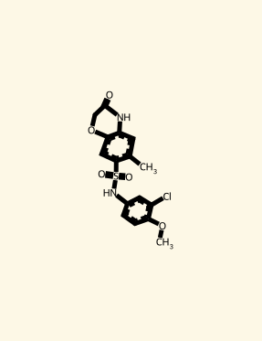 COc1ccc(NS(=O)(=O)c2cc3c(cc2C)NC(=O)CO3)cc1Cl